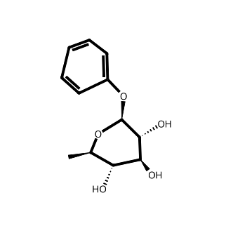 C[C@H]1O[C@@H](Oc2ccccc2)[C@H](O)[C@@H](O)[C@@H]1O